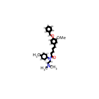 COc1cc(C=CC=CC(=O)N(CCN(C)C)C2CCC(C)CC2)ccc1OCc1ccccc1